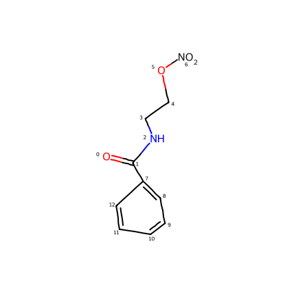 O=C(NCCO[N+](=O)[O-])c1ccccc1